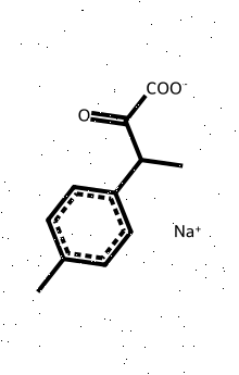 Cc1ccc(C(C)C(=O)C(=O)[O-])cc1.[Na+]